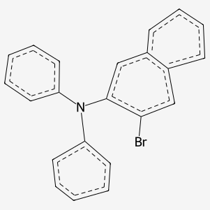 Brc1cc2ccccc2cc1N(c1ccccc1)c1ccccc1